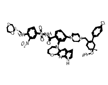 CC(C)O[C@]1(C)CCC(CN2CCN(c3ccc(C(=O)NS(=O)(=O)c4ccc(NC[C@H]5COCCO5)c([N+](=O)[O-])c4)c(N4CCCOc5nc6[nH]ccc6cc54)c3)CC2)=C(c2ccc(Cl)cc2)C1